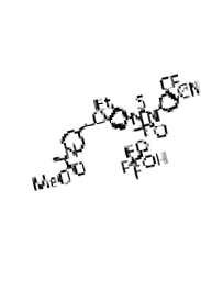 CCc1cc(N2C(=S)N(c3ccc(C#N)c(C(F)(F)F)c3)C(=O)C2(C)C)ccc1OCCC1CCN([C@H](C)C(=O)OC)CC1.O=C(O)C(F)(F)F